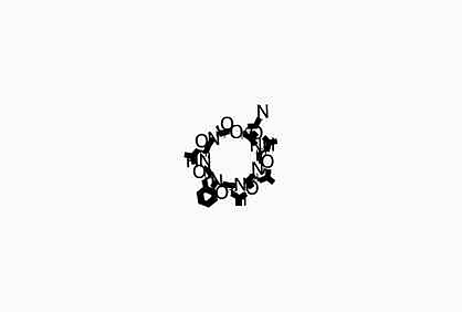 CC(C)C[C@@H]1NC(=O)[C@H](Cc2ccccc2)N(C)C(=O)[C@H](CC(C)C)NC(=O)[C@H](CC(C)C)N(C)C(=O)[C@H](CC(C)C)NC(=O)[C@@H](CCC#N)OC(=O)[C@H](C)N(C)C1=O